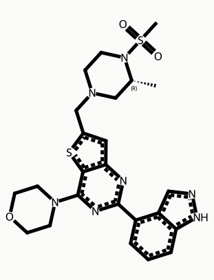 C[C@@H]1CN(Cc2cc3nc(-c4cccc5[nH]ncc45)nc(N4CCOCC4)c3s2)CCN1S(C)(=O)=O